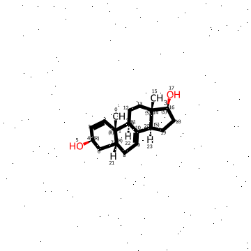 C[C@]12C=C[C@H](O)C[C@H]1CC=C1[C@@H]2CC[C@]2(C)[C@@H](O)CC[C@@H]12